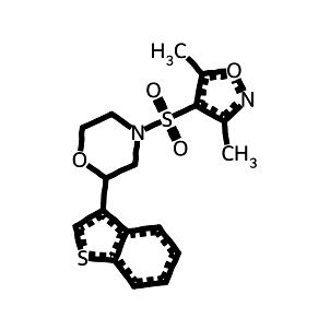 Cc1noc(C)c1S(=O)(=O)N1CCOC(c2csc3ccccc23)C1